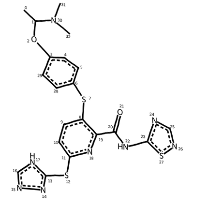 CC(Oc1ccc(Sc2ccc(Sc3nnc[nH]3)nc2C(=O)Nc2ncns2)cc1)N(C)C